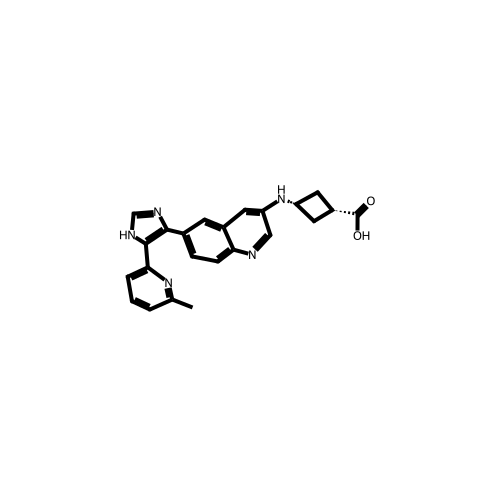 Cc1cccc(-c2[nH]cnc2-c2ccc3ncc(N[C@H]4C[C@@H](C(=O)O)C4)cc3c2)n1